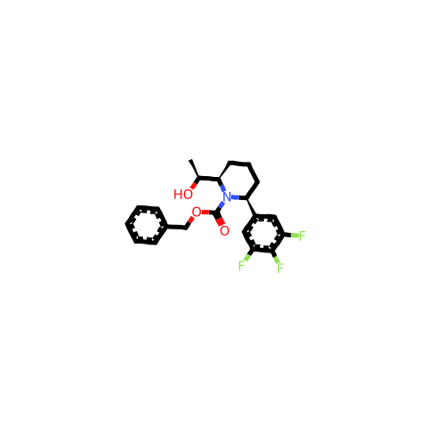 C[C@H](O)[C@H]1CCC[C@@H](c2cc(F)c(F)c(F)c2)N1C(=O)OCc1ccccc1